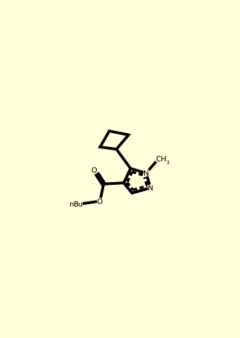 CCCCOC(=O)c1cnn(C)c1C1CCC1